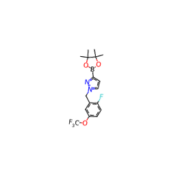 CC1(C)OB(c2ccn(Cc3cc(OC(F)(F)F)ccc3F)n2)OC1(C)C